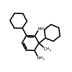 CC1(C2CCCCC2)C(N)=C(C2CCCCC2)C=CC1N